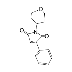 O=C1C=C(c2ccccc2)C(=O)N1C1CCOCC1